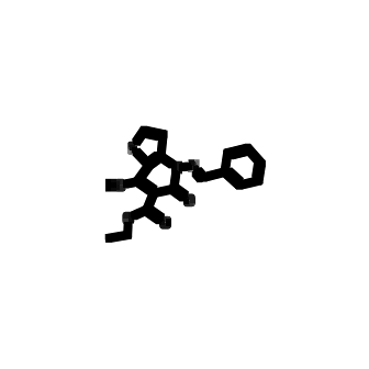 CCOC(=O)c1c(O)c2sccc2n(/N=C/c2ccccc2)c1=O